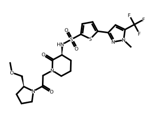 COC[C@@H]1CCCN1C(=O)CN1CCC[C@H](NS(=O)(=O)c2ccc(-c3cc(C(F)(F)F)n(C)n3)s2)C1=O